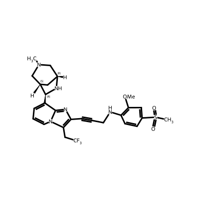 COc1cc(S(C)(=O)=O)ccc1NCC#Cc1nc2c([C@@H]3N[C@@H]4C[C@H]3CN(C)C4)cccn2c1CC(F)(F)F